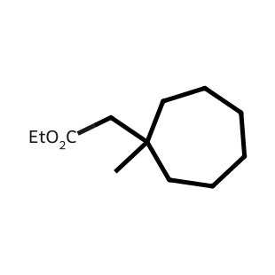 CCOC(=O)CC1(C)CCCCCC1